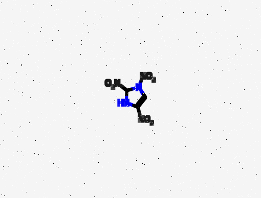 O=[N+]([O-])C1=CN([N+](=O)[O-])C([N+](=O)[O-])N1